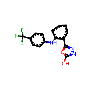 Oc1nnc(-c2ccccc2Nc2ccc(C(F)(F)F)cc2)o1